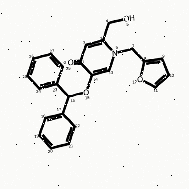 O=c1cc(CO)n(Cc2ccco2)cc1OC(c1ccccc1)c1ccccc1